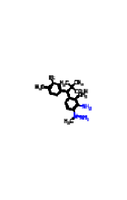 CCc1cc(C(c2ccc(N(C)N)c(N)c2C)C(C)(C)C(=O)O)ccc1C